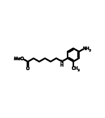 COC(=O)CCCCCNc1ccc(N)cc1C